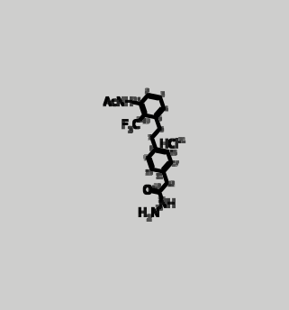 CC(=O)Nc1cccc(CCc2ccc(CC(=O)NN)cc2)c1C(F)(F)F.Cl